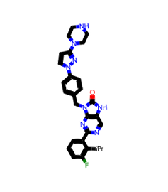 CC(C)c1c(F)cccc1-c1ncc2[nH]c(=O)n(Cc3ccc(-n4ccc(N5CCNCC5)n4)cc3)c2n1